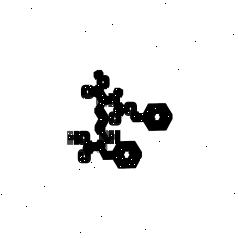 COC(=O)[C@H](CCCN[C@@H](Cc1ccccc1)C(=O)O)N(C)C(=O)OCc1ccccc1